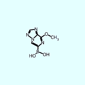 COc1nc(B(O)O)cn2ncnc12